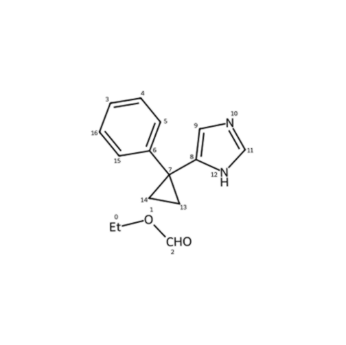 CCOC=O.c1ccc(C2(c3cnc[nH]3)CC2)cc1